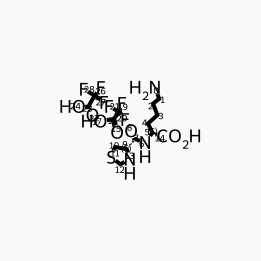 NCCCC[C@H](NC(=O)[C@H]1CSCN1)C(=O)O.O=C(O)C(F)(F)F.O=C(O)C(F)(F)F